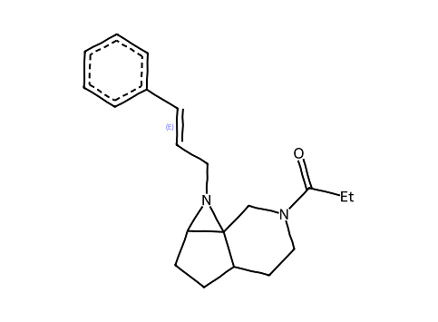 CCC(=O)N1CCC2CCC3N(C/C=C/c4ccccc4)C23C1